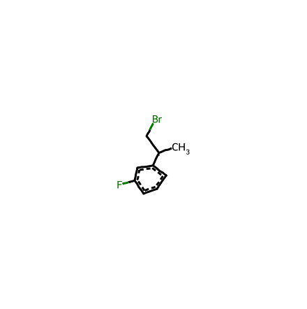 C[C](CBr)c1cccc(F)c1